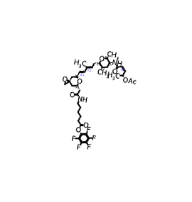 CC(=O)OC(C)/C=C\C(=O)N[C@@H]1C[C@H](C)[C@H](C/C=C(C)/C=C/[C@@H]2C[C@]3(CO3)C[C@@H](CC(=O)NCCCCCC(=O)Oc3c(F)c(F)c(F)c(F)c3F)O2)O[C@@H]1C